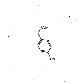 CSCc1ccc(C#N)nc1